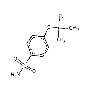 CCC(C)(C)Oc1ccc(S(N)(=O)=O)cc1